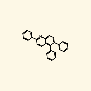 c1ccc(-c2ccc3c(-c4ccccc4)c(-c4ccccc4)ccc3n2)cc1